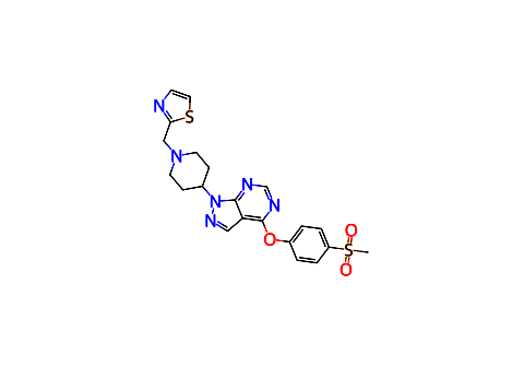 CS(=O)(=O)c1ccc(Oc2ncnc3c2cnn3C2CCN(Cc3nccs3)CC2)cc1